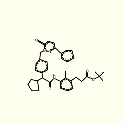 Cc1c(CCC(=O)OC(C)(C)C)cccc1NC(=O)C(c1ccc(Cn2nc(-c3ccccc3)ccc2=O)cc1)C1CCCC1